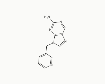 Nc1ncc2ncn(Cc3cccnc3)c2n1